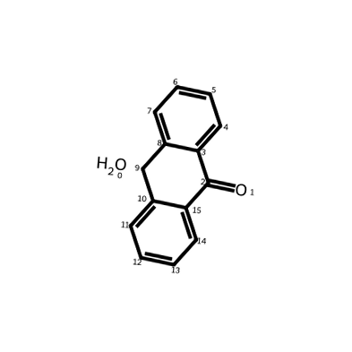 O.O=C1c2ccccc2Cc2ccccc21